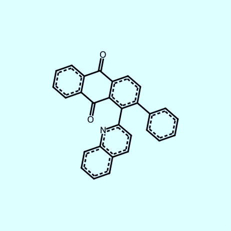 O=C1c2ccccc2C(=O)c2c1ccc(-c1ccccc1)c2-c1ccc2ccccc2n1